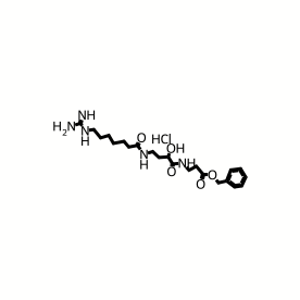 Cl.N=C(N)NCCCCCCC(=O)NCCC(O)C(=O)NCCC(=O)OCc1ccccc1